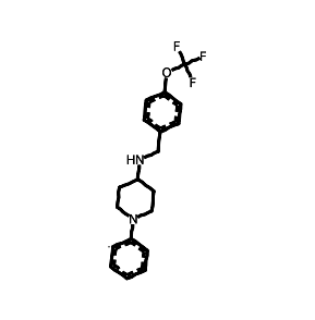 FC(F)(F)Oc1ccc(CNC2CCN(c3[c]cccc3)CC2)cc1